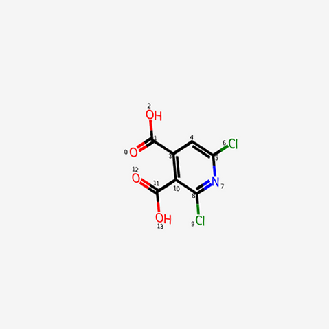 O=C(O)c1cc(Cl)nc(Cl)c1C(=O)O